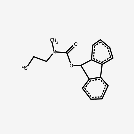 CN(CCS)C(=O)OC1c2ccccc2-c2ccccc21